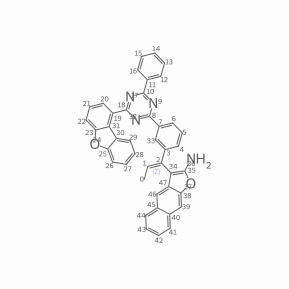 C/C=C(/c1cccc(-c2nc(-c3ccccc3)nc(-c3cccc4oc5ccccc5c34)n2)c1)c1c(N)oc2cc3ccccc3cc12